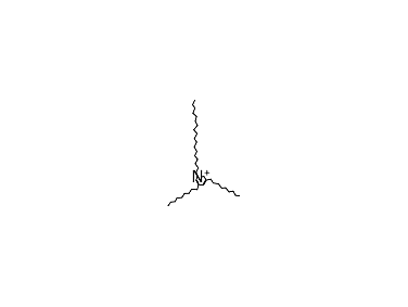 CCCCCCCCCCCCCCCCCC[n+]1cc(CCCCCCCCC)cc(CCCCCCCCC)c1